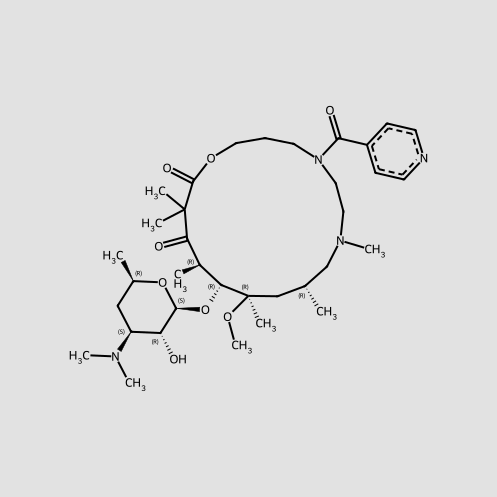 CO[C@]1(C)C[C@@H](C)CN(C)CCN(C(=O)c2ccncc2)CCCOC(=O)C(C)(C)C(=O)[C@H](C)[C@H]1O[C@@H]1O[C@H](C)C[C@H](N(C)C)[C@H]1O